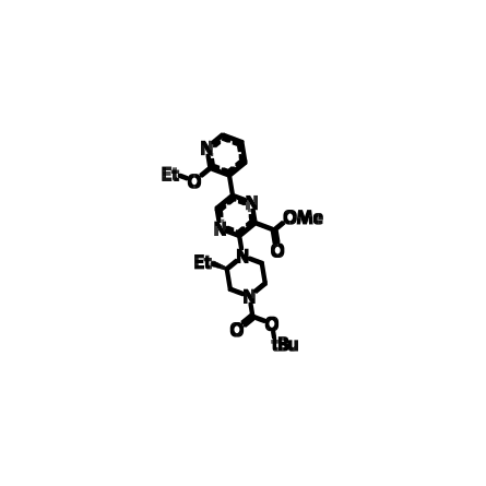 CCOc1ncccc1-c1cnc(N2CCN(C(=O)OC(C)(C)C)C[C@H]2CC)c(C(=O)OC)n1